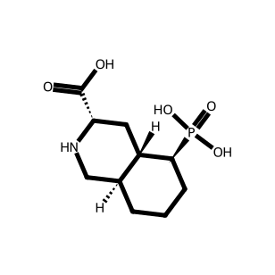 O=C(O)[C@@H]1C[C@H]2[C@@H](CCC[C@@H]2P(=O)(O)O)CN1